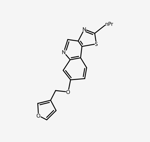 CCCc1nc2cnc3cc(OCc4ccoc4)ccc3c2s1